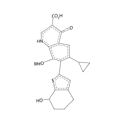 COc1c(-c2cc3c(s2)C(O)CCC3)c(C2CC2)cc2c(=O)c(C(=O)O)c[nH]c12